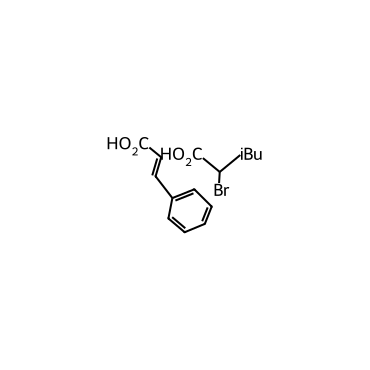 CCC(C)C(Br)C(=O)O.O=C(O)/C=C/c1ccccc1